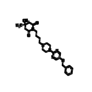 CC1(C)CC(=O)N(CCCCN2CCN(c3ncc(OCc4ccccc4)cn3)CC2)C(=O)C1